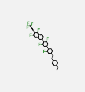 CCC1C=CC(CCc2ccc(-c3cc(F)c(-c4ccc5c(F)c(C#CC(F)(F)F)c(F)cc5c4)c(F)c3)c(F)c2)CC1